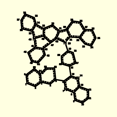 c1ccc2cc(-c3nc4ccccc4nc3-c3ccc(-n4c5c6ccccc6ccc5c5cc6c7ccccc7n7c8ccccc8c(c54)c67)cc3)ccc2c1